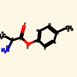 Cc1ccc(OC(=O)C(C)N)cc1